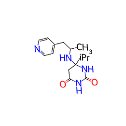 CC(Cc1ccncc1)NC1(C(C)C)CC(=O)NC(=O)N1